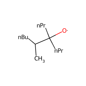 CCCCC(C)C([O])(CCC)CCC